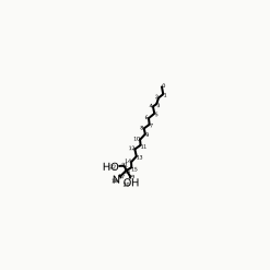 CCCCCCCCCCCCCCCCC(C#N)(CO)CO